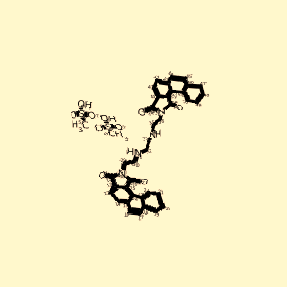 CS(=O)(=O)O.CS(=O)(=O)O.O=C1c2ccc3ccc4ccccc4c3c2C(=O)N1CCNCCNCCN1C(=O)c2ccc3ccc4ccccc4c3c2C1=O